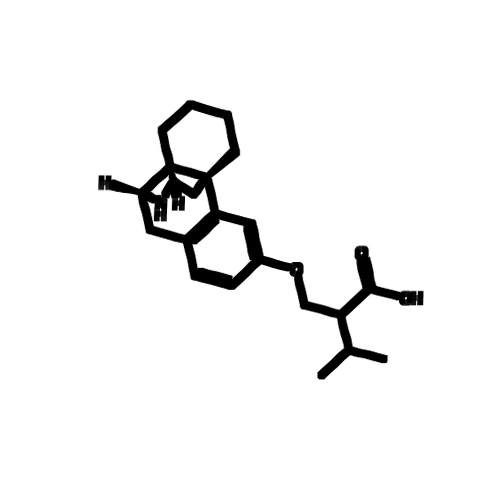 CC(C)C(COc1ccc2c(c1)[C@@]13CCCC[C@H]1[C@@H](C2)NCC3)C(=O)O